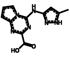 Cc1cc(Nc2nc(C(=O)O)nc3cccn23)n[nH]1